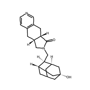 O=C1[C@H]2Cc3cnccc3C[C@H]2CN1C[C@H]1[C@@H]2CC3C[C@H]1C[C@](O)(C3)C2